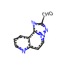 O=Cc1nc2c3cccnc3ccn2n1